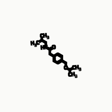 CC(C)CNC(=O)Cc1ccc(COC(C)C)cc1